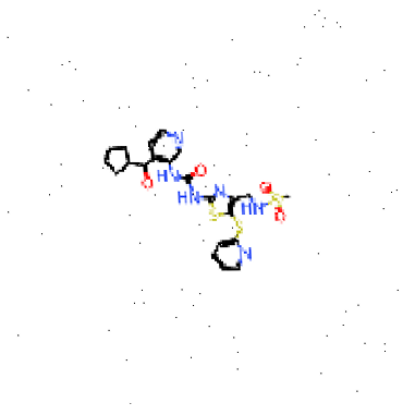 CS(=O)(=O)NCc1nc(NC(=O)Nc2cnccc2C(=O)C2CCCC2)sc1Sc1ccccn1